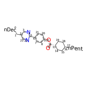 CCCCCCCCCCCc1cnc(-c2ccc(OC(=O)[C@H]3CC[C@H](CCCCC)CC3)cc2)nc1